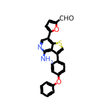 Nc1ncc(-c2ccc(C=O)o2)c2scc(-c3ccc(Oc4ccccc4)cc3)c12